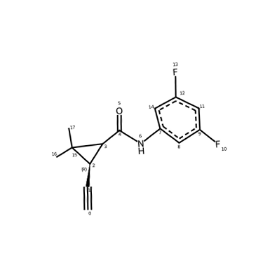 C#C[C@@H]1C(C(=O)Nc2cc(F)cc(F)c2)C1(C)C